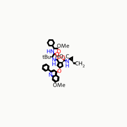 C=C[C@@H]1C[C@]1(NC(=O)[C@H]1C[C@H](Oc2cc(-c3ccccc3)nc3cc(OC)ccc23)C=C1C(=O)N[C@H](C(=O)N[C@H](C(=O)OC)C1CCCCC1)C(C)(C)C)C(=O)O